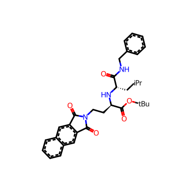 CC(C)C[C@H](N[C@H](CCN1C(=O)c2cc3ccccc3cc2C1=O)C(=O)OC(C)(C)C)C(=O)NCc1ccccc1